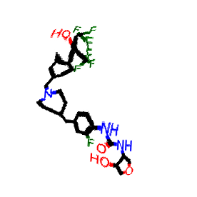 O=C(Nc1ccc(CC2CCN(Cc3ccc(C(O)(C(F)(F)F)C(F)(F)F)cc3)CC2)cc1F)NC1COCC1O